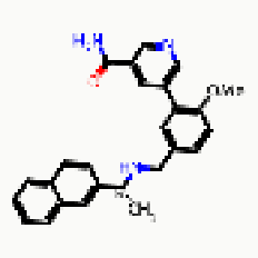 COc1ccc(CN[C@H](C)c2ccc3ccccc3c2)cc1-c1cncc(C(N)=O)c1